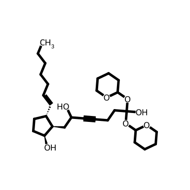 CCCCCC=C[C@H]1CC[C@H](O)[C@@H]1CC(O)C#CCCC(O)(OC1CCCCO1)OC1CCCCO1